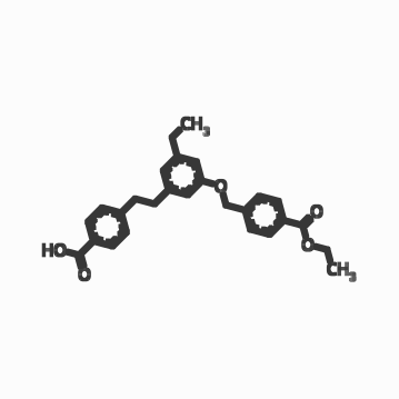 CCOC(=O)c1ccc(COc2cc(CC)cc(CCc3ccc(C(=O)O)cc3)c2)cc1